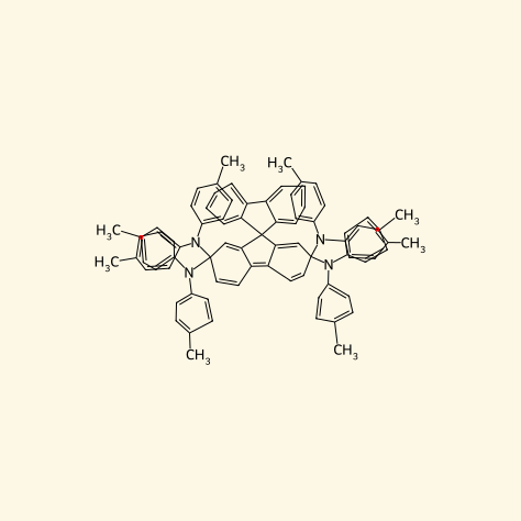 Cc1ccc(N(c2ccc(C)cc2)C2(N(c3ccc(C)cc3)c3ccc(C)cc3)C=CC3=C4C=CC(N(c5ccc(C)cc5)c5ccc(C)cc5)(N(c5ccc(C)cc5)c5ccc(C)cc5)C=C4C4(C3=C2)c2ccccc2-c2ccccc24)cc1